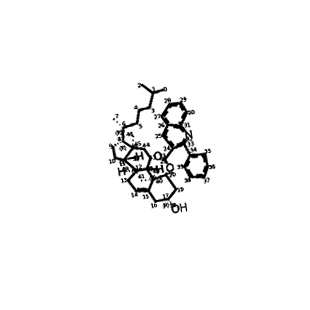 CC(C)CCC[C@@H](C)[C@H]1CC[C@H]2[C@@H]3CC=C4C[C@@H](O)CC(OC(=O)c5cc6ccccc6nc5-c5ccccc5)[C@]4(C)[C@H]3CC[C@]12C